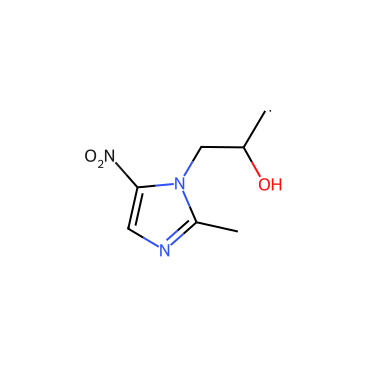 [CH2]C(O)Cn1c([N+](=O)[O-])cnc1C